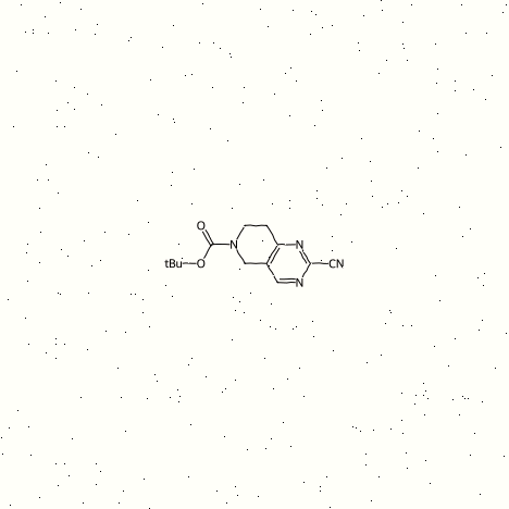 CC(C)(C)OC(=O)N1CCc2nc(C#N)ncc2C1